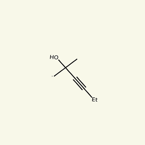 [CH2]C(C)(O)C#CCC